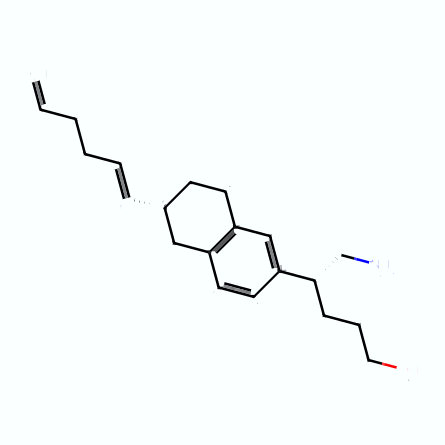 C=CCC/C=C/[C@@H]1CCc2cc([C@H](CN)CCCO)ccc2C1